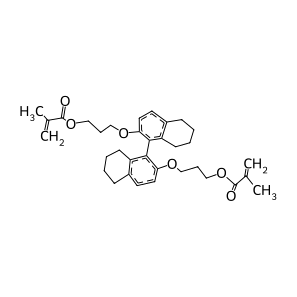 C=C(C)C(=O)OCCCOc1ccc2c(c1-c1c(OCCCOC(=O)C(=C)C)ccc3c1CCCC3)CCCC2